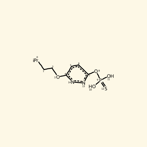 CC(C)CCOc1ccc(OP(O)(O)=S)nn1